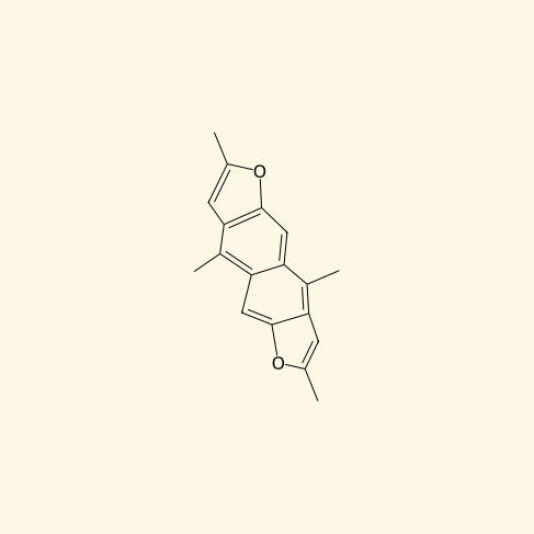 Cc1cc2c(C)c3cc4oc(C)cc4c(C)c3cc2o1